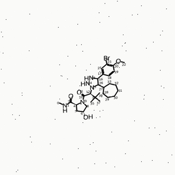 CNC(=O)[C@@H]1C[C@@H](O)CN1C(=O)[C@@H](N1NNC(c2ccc(OC)c(Br)c2)C1C1CCCCCC1)C(C)(C)C